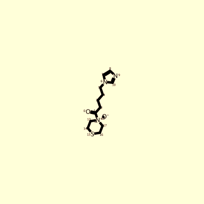 O=C(CCCCn1c[c]nc1)[N+]1([O-])CCSCC1